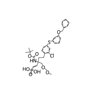 COCOCC(C=CP(=O)(O)O)(CCc1ccc(Sc2cccc(OCc3ccccc3)c2)cc1Cl)NC(=O)OC(C)(C)C